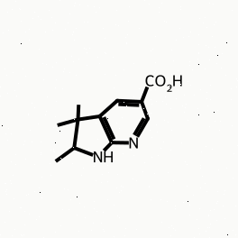 CC1Nc2ncc(C(=O)O)cc2C1(C)C